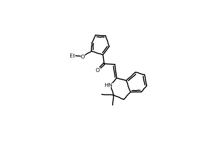 CCOc1ccccc1C(=O)/C=C1\NC(C)(C)Cc2ccccc21